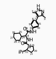 Cc1n[nH]c(C)c1-c1ccc(NC(=O)C(NC(=O)N2CCCC2C(C)C)C2CCCCC2)cc1